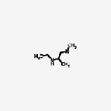 CCNC(C)C[N]C